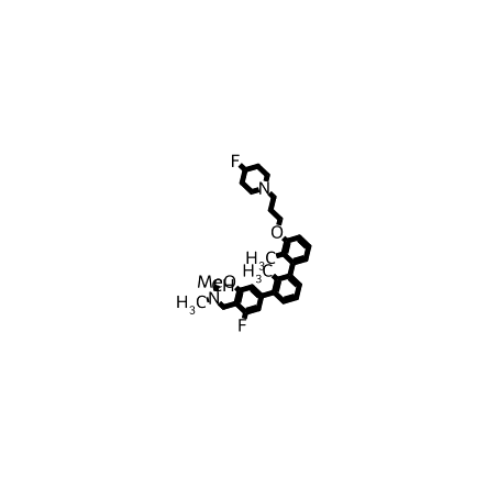 COc1cc(-c2cccc(-c3cccc(OCCCN4CCC(F)CC4)c3C)c2C)cc(F)c1CN(C)C